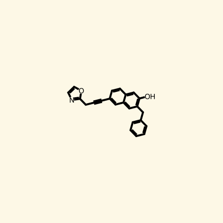 Oc1cc2ccc(C#CCc3ncco3)cc2cc1Cc1ccccc1